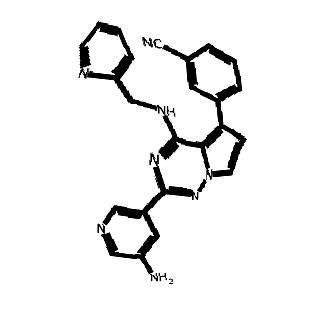 N#Cc1cccc(-c2ccn3nc(-c4cncc(N)c4)nc(NCc4ccccn4)c23)c1